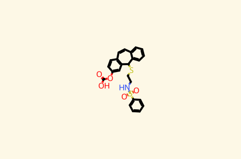 O=C(O)Oc1ccc2c(c1)C(SCCNS(=O)(=O)c1ccccc1)c1ccccc1C=C2